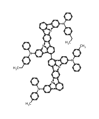 CCc1ccc(N(c2ccccc2)c2ccc3c4cccc5c6cc7c(cc6n(c3c2)c45)c2ccc(-c3ccc4c5cc6c(cc5n5c8cc(N(c9ccccc9)c9ccc(C)cc9)ccc8c3c45)c3cccc4c5ccc(N(c8ccccc8)c8ccc(C)cc8)cc5n6c43)c3c4ccc(N(c5ccccc5)c5ccc(CC)cc5)cc4n7c23)cc1